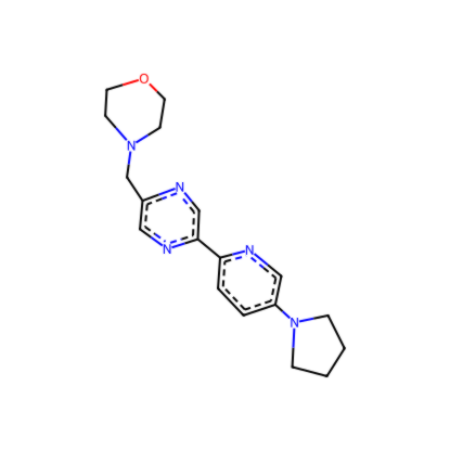 c1cc(-c2cnc(CN3CCOCC3)cn2)ncc1N1CCCC1